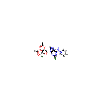 CC(=O)O[C@@H]1[C@H](OC(C)=O)[C@@H](CF)O[C@H]1n1cnc2c(NN3CCCCC3)nc(Cl)nc21